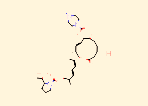 C/C(=C\C=C\C(C)COC(=O)N1CCCC1C(C)O)[C@H]1OC(=O)C[C@@H](O)CC[C@](C)(O)[C@@H](OC(=O)N2CCN(C)CC2)/C=C/[C@@H]1C